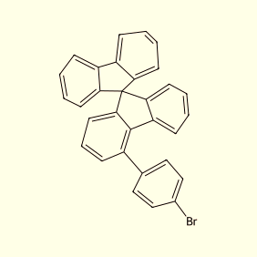 Brc1ccc(-c2cccc3c2-c2ccccc2C32c3ccccc3-c3ccccc32)cc1